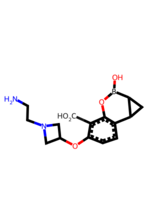 NCCN1CC(Oc2ccc3c(c2C(=O)O)OB(O)C2CC32)C1